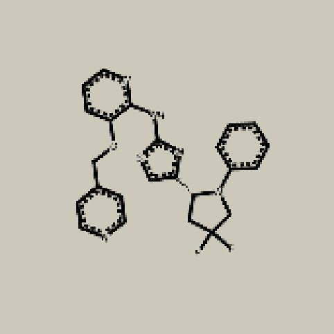 FC1(F)C[C@H](c2csc(Nc3ncccc3OCc3ccncc3)n2)N(c2ccccc2)C1